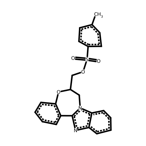 Cc1ccc(S(=O)(=O)OCC2Cn3c(nc4ccccc43)-c3ccccc3O2)cc1